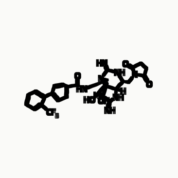 N=C1N[C@H]2[C@H](CN3C(=O)CCC3=O)NC(=N)N3C[C@H](NC(=O)c4ccc(-c5ccccc5C(F)(F)F)cc4)C(O)(O)[C@]23N1